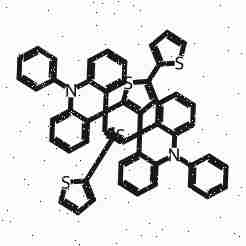 c1ccc(N2c3ccccc3C3(c4ccccc42)c2cc(-c4cccs4)sc2C2(c4ccccc4N(c4ccccc4)c4ccccc42)c2cc(-c4cccs4)sc23)cc1